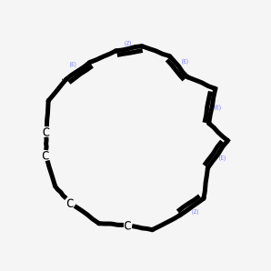 [C]1=C/C=C\C=C\C=C\C=C\C=C/CCCCCCCC/1